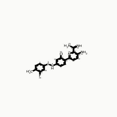 Cc1ccc(SNc2ccc(-c3ccc(N)c(C(=N)N)n3)c(Cl)c2)cc1F